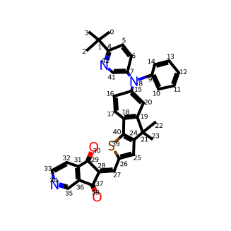 CC(C)(C)c1ccc(N(c2ccccc2)c2ccc3c(c2)C(C)(C)c2cc(/C=C4\C(=O)c5ccncc5C4=O)sc2-3)cn1